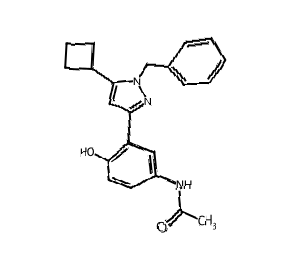 CC(=O)Nc1ccc(O)c(-c2cc(C3CCC3)n(Cc3ccccc3)n2)c1